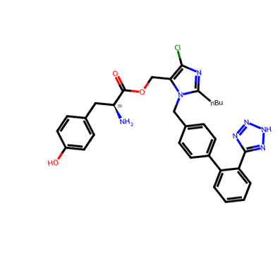 CCCCc1nc(Cl)c(COC(=O)[C@@H](N)Cc2ccc(O)cc2)n1Cc1ccc(-c2ccccc2-c2nn[nH]n2)cc1